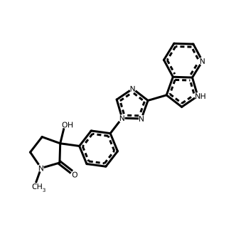 CN1CCC(O)(c2cccc(-n3cnc(-c4c[nH]c5ncccc45)n3)c2)C1=O